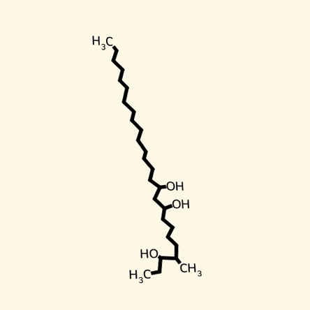 CCCCCCCCCCCCCCCC(O)CC(O)CCCCC(C)C(O)CC